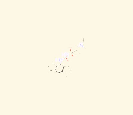 CC(C)N(C)CC(C)S(=O)(=O)NC(=O)Nc1c2c(cc3c1CCC3)CCC2